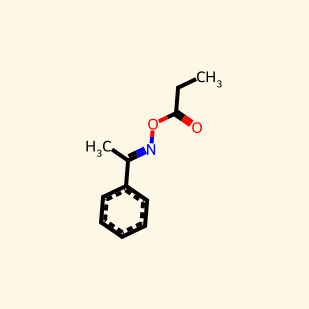 CCC(=O)O/N=C(\C)c1ccccc1